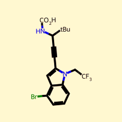 CC(C)(C)C(C#Cc1cc2c(Br)cccc2n1CC(F)(F)F)NC(=O)O